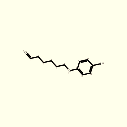 O=CCCCCCOc1ccc(I)cc1